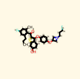 CCCc1cc(F)cc(C)c1C(=O)c1sc2cc(O)ccc2c1Oc1ccc(OC2CN(CCCF)C2)cc1